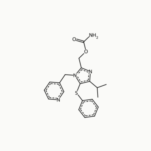 CC(C)c1nc(COC(N)=O)n(Cc2cccnc2)c1Sc1ccccc1